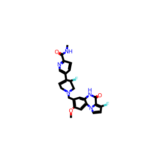 CNC(=O)c1ccc(C2=CCN(Cc3cc4[nH]c(=O)c5c(F)ccn5c4cc3OC)CC2F)cn1